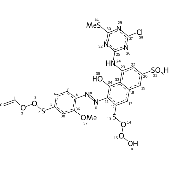 C=COOSc1ccc(N=Nc2c(SOOO)cc3cc(S(=O)(=O)O)cc(Nc4nc(Cl)nc(SC)n4)c3c2O)c(OC)c1